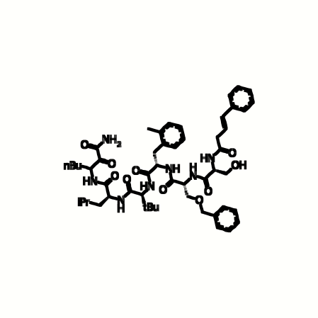 CCCCC(NC(=O)[C@H](CC(C)C)NC(=O)[C@@H](NC(=O)[C@H](Cc1ccccc1C)NC(=O)[C@@H](COCc1ccccc1)NC(=O)[C@H](CO)NC(=O)C/C=C/c1ccccc1)C(C)(C)C)C(=O)C(N)=O